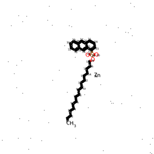 CCCCCCCCCCCCCCCCCCOS(=O)(=O)c1cccc2cc3ccccc3cc12.[Zn]